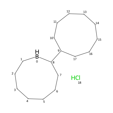 B1CCCCCCCC1C1CCCCCCCC1.Cl